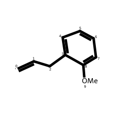 [CH]=CCc1ccccc1OC